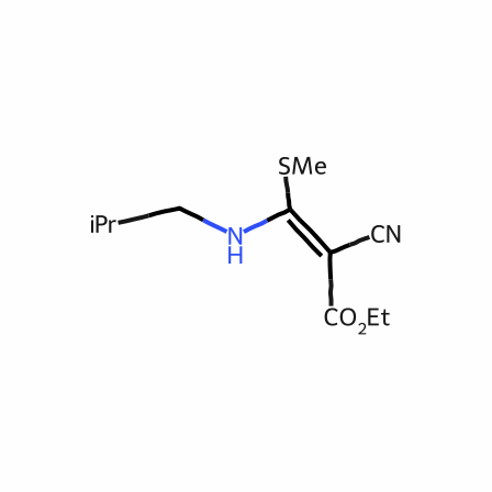 CCOC(=O)C(C#N)=C(NCC(C)C)SC